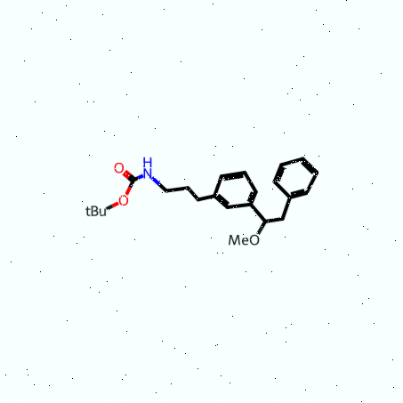 COC(Cc1ccccc1)c1cccc(CCCNC(=O)OC(C)(C)C)c1